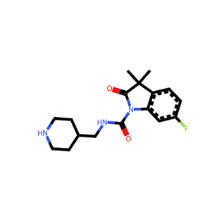 CC1(C)C(=O)N(C(=O)NCC2CCNCC2)c2cc(F)ccc21